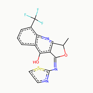 CC1O/C(=N/c2nccs2)c2c1nc1c(C(F)(F)F)cccc1c2O